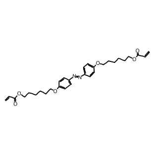 C=CC(=O)OCCCCCCOc1ccc(/N=N/c2ccc(OCCCCCCOC(=O)C=C)cc2)cc1